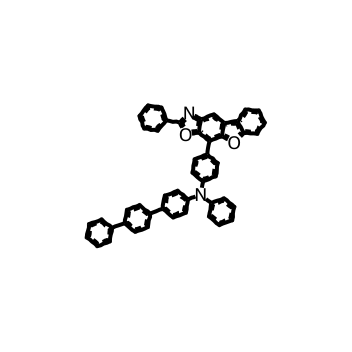 c1ccc(-c2ccc(-c3ccc(N(c4ccccc4)c4ccc(-c5c6oc(-c7ccccc7)nc6cc6c5oc5ccccc56)cc4)cc3)cc2)cc1